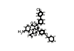 NC1CCN(C(=O)[C@@H](N(OC(=O)C(F)(F)F)S(=O)(=O)c2ccc(OCC3CCCCC3)cc2)C(F)(F)c2cccc(-c3ccc(Cl)cc3)c2)CC1